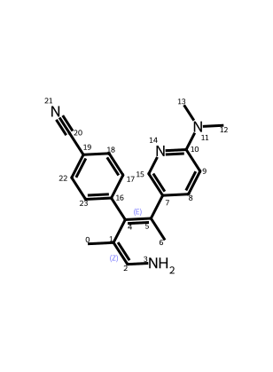 CC(=C/N)/C(=C(\C)c1ccc(N(C)C)nc1)c1ccc(C#N)cc1